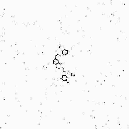 [2H]C([2H])([2H])Oc1cc(Cl)ccc1[C@H]1C=Cc2ccc3c(c2O1)C(C)N(Cc1nc2c(OC)cc(C(=O)O)cc2n1C[C@@H]1CCO1)CC3